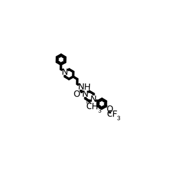 C[C@@H]1CN(C(=O)NCCC2CCN(Cc3ccccc3)CC2)CCN1c1ccc(OC(F)(F)F)cc1